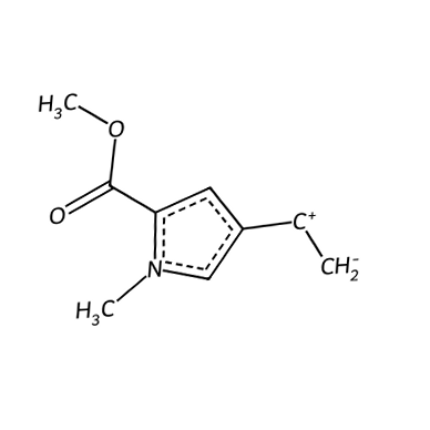 [CH2-][CH+]c1cc(C(=O)OC)n(C)c1